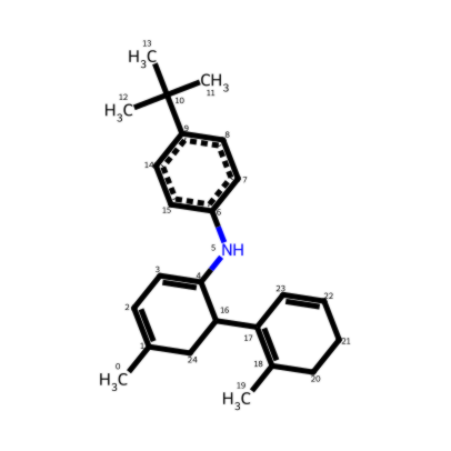 CC1=CC=C(Nc2ccc(C(C)(C)C)cc2)C(C2=C(C)CCC=C2)C1